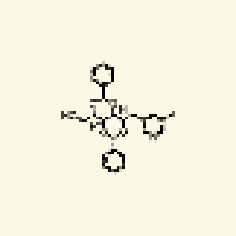 OC[C@H]1OC(c2ccccc2)O[C@@H]2[C@@H]1OC(c1ccccc1)O[C@@H]2Cc1cncc(I)c1